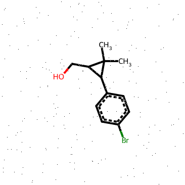 CC1(C)C(CO)C1c1ccc(Br)cc1